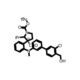 CC(C)C1N(C(=O)OC(C)(C)C)CC[C@]1(C=O)c1ccccc1N(C)c1cccc(-c2ccc(CO)c(Cl)c2)c1